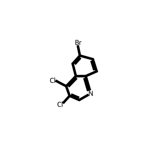 Clc1cnc2ccc(Br)cc2c1Cl